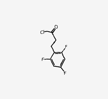 O=C(Cl)CCc1c(F)cc(F)cc1F